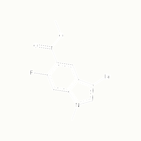 COC(=O)c1cc2c(Br)cn(C)c2cc1F